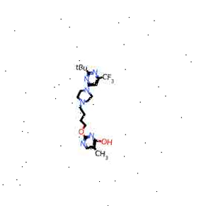 Cc1cnc(OCCCCN2CCN(c3cc(C(F)(F)F)nc(C(C)(C)C)n3)CC2)nc1O